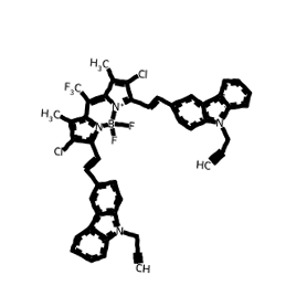 C#CCn1c2ccccc2c2cc(/C=C/C3=[N+]4C(=C(C(F)(F)F)c5c(C)c(Cl)c(/C=C/c6ccc7c(c6)c6ccccc6n7CC#C)n5[B-]4(F)F)C(C)=C3Cl)ccc21